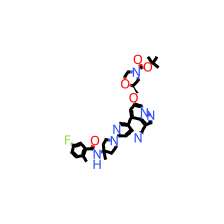 Cc1ccc(F)cc1C(=O)NC1(C)CCN(c2ccc(-c3cc(OC[C@@H]4CN(C(=O)OC(C)(C)C)CCO4)cn4ncc(C#N)c34)cn2)CC1